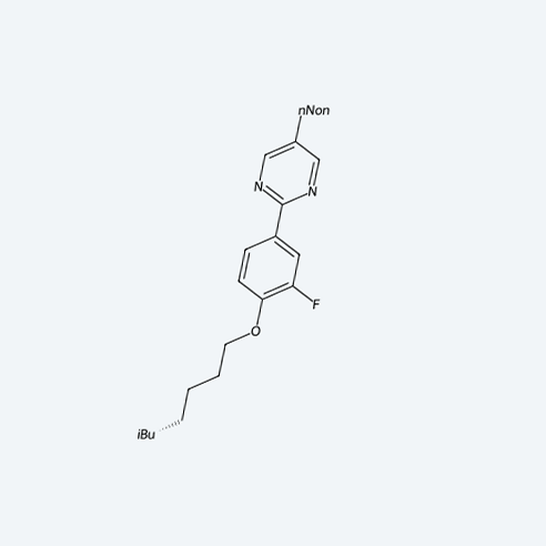 CCCCCCCCCc1cnc(-c2ccc(OCCCC[C@@H](C)CC)c(F)c2)nc1